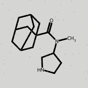 CN(C(=O)C12CC3CC(CC(C3)C1)C2)C1CCNC1